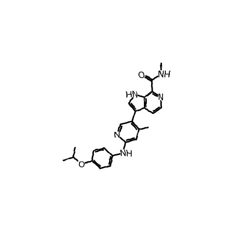 CNC(=O)c1nccc2c(-c3cnc(Nc4ccc(OC(C)C)cc4)cc3C)c[nH]c12